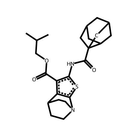 CC(C)COC(=O)c1c(NC(=O)C23CC4CC(CC2C4)C3)sc2c1C1CCN2CC1